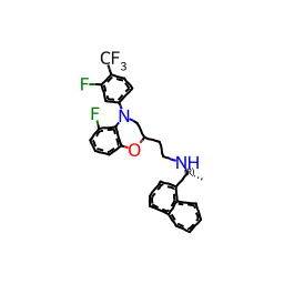 C[C@@H](NCCC1CN(c2ccc(C(F)(F)F)c(F)c2)c2c(F)cccc2O1)c1cccc2ccccc12